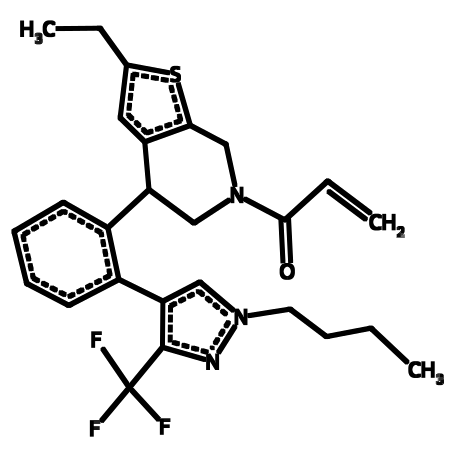 C=CC(=O)N1Cc2sc(CC)cc2C(c2ccccc2-c2cn(CCCC)nc2C(F)(F)F)C1